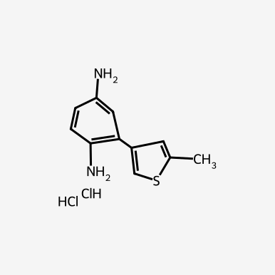 Cc1cc(-c2cc(N)ccc2N)cs1.Cl.Cl